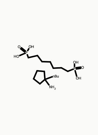 CCCCC1(N)CCCC1.O=P(O)(O)CCCCCCCP(=O)(O)O